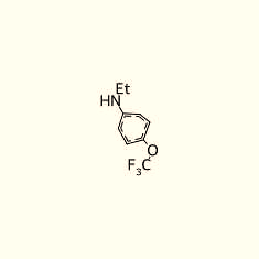 [CH2]CNc1ccc(OC(F)(F)F)cc1